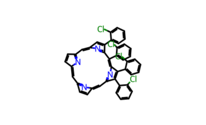 Clc1ccccc1C1=CC2=CC3=NC(=CC4=NC(=CC5=NC(=C(c6ccccc6Cl)C1=N2)C(c1ccccc1Cl)=C5c1ccccc1Cl)C=C4)C=C3